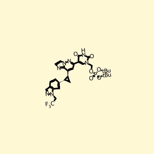 CC(C)(C)OP(=O)(OCn1cc(-c2cc([C@H]3C[C@@H]3c3ccc4cnn(CC(F)(F)F)c4c3)c3nccn3n2)c(=O)[nH]c1=O)OC(C)(C)C